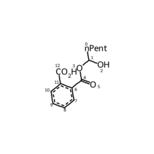 CCCCCC(O)OC(=O)c1ccccc1C(=O)O